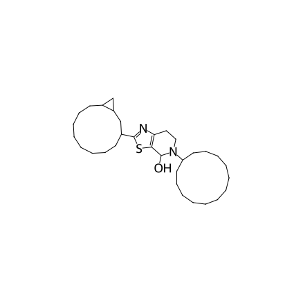 OC1c2sc(C3CCCCCCCCC4CC4C3)nc2CCN1C1CCCCCCCCCCCC1